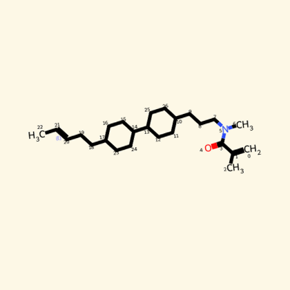 C=C(C)C(=O)N(C)CCCC1CCC(C2CCC(CC/C=C/C)CC2)CC1